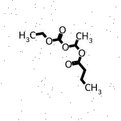 CCCC(=O)OC(C)OC(=O)OCC